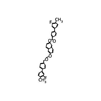 Cc1ccc(-c2ccc(COCOc3ccc4cc(OC(=O)c5ccc(-c6ccc(C)c(F)c6)cc5)ccc4c3)cc2)cc1F